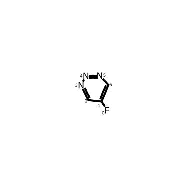 Fc1cnnnc1